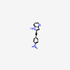 CN(C)c1ccc(C#Cc2cc3ncccc3[nH]2)cc1